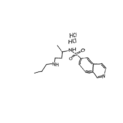 CCCNCCC(C)NS(=O)(=O)c1ccc2cnccc2c1.Cl.Cl